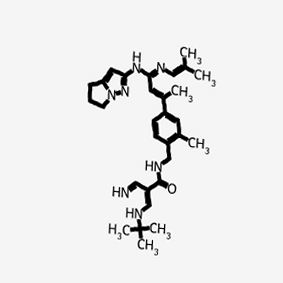 CC(C)=C/N=C(\C=C(/C)c1ccc(CNC(=O)/C(C=N)=C/NC(C)(C)C)c(C)c1)Nc1cc2n(n1)CCC2